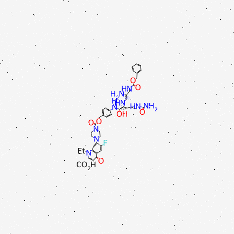 CCn1cc(C(=O)O)c(=O)c2cc(F)c(N3CCN(C(=O)OCc4ccc(NC(O)[C@H](CCCNC(N)=O)N/C=C(\N)CNC(=O)OCc5ccccc5)cc4)CC3)cc21